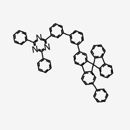 c1ccc(-c2ccc3c(c2)C2(c4ccccc4-c4ccccc42)c2cc(-c4cccc(-c5cccc(-c6nc(-c7ccccc7)nc(-c7ccccc7)n6)c5)c4)ccc2-3)cc1